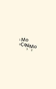 [Co].[Mo].[Mo].[Ni]